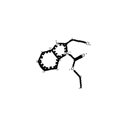 CCOC(=O)n1c(CCl)nc2ccccc21